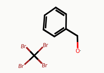 BrC(Br)(Br)Br.[O]Cc1ccccc1